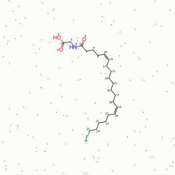 O=C(O)CNC(=O)CCC/C=C\CCCCCCC/C=C\CCCCCF